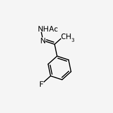 CC(=O)NN=C(C)c1cccc(F)c1